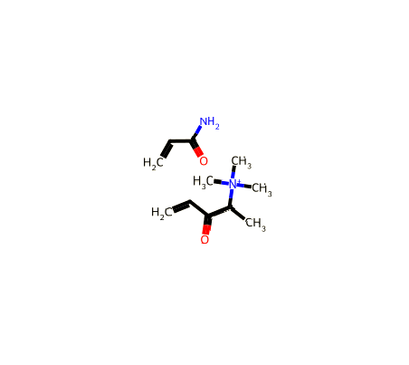 C=CC(=O)C(C)[N+](C)(C)C.C=CC(N)=O